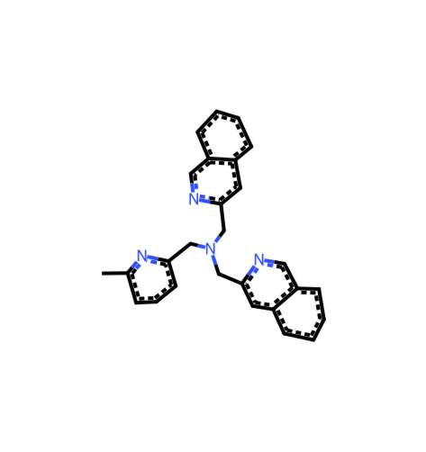 Cc1cccc(CN(Cc2cc3ccccc3cn2)Cc2cc3ccccc3cn2)n1